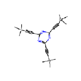 C[Si](C)(C)C#Cc1nc(C#C[Si](C)(C)C)nc(C#C[Si](C)(C)C)n1